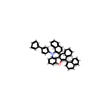 c1ccc(-c2ccc(N(c3cccc4ccccc34)c3cccc4oc5c(-c6cccc7ccccc67)c6ccccc6cc5c34)cc2)cc1